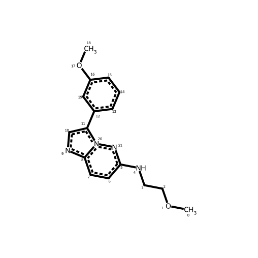 COCCNc1ccc2ncc(-c3cccc(OC)c3)n2n1